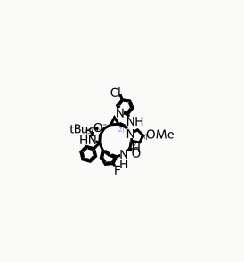 CO[C@@H]1C[C@@H]2C(=O)Nc3cc(ccc3F)C(N[S@+]([O-])C(C)(C)C)(c3ccccc3)CCC3C/C3=C(\Nc3ccc(Cl)cn3)N2C1